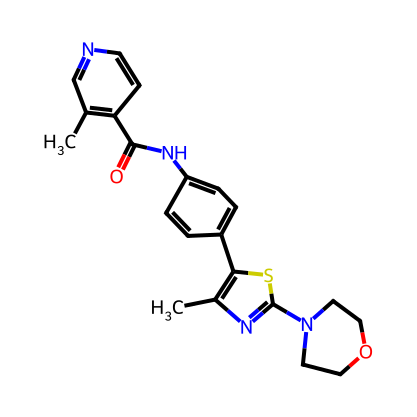 Cc1cnccc1C(=O)Nc1ccc(-c2sc(N3CCOCC3)nc2C)cc1